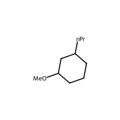 CCCC1CCCC(OC)C1